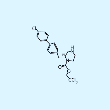 O=C(OCC(Cl)(Cl)Cl)N1CCNC[C@H]1Cc1ccc(-c2ccc(Cl)cc2)cc1